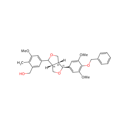 COc1cc(C2OC[C@@H]3[C@@H](c4cc(OC)c(OCc5ccccc5)c(OC)c4)OC[C@H]23)cc(CO)c1C